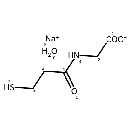 O.O=C([O-])CNC(=O)CCS.[Na+]